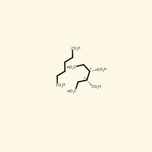 O=C(O)CCCCC(=O)O.O=C(O)C[C@H](C(=O)O)[C@@H](CC(=O)O)C(=O)O